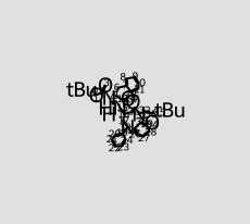 CC(C)(C)OC(=O)N[C@@H](Cc1ccccc1)C(=O)NC1CN(c2ccccc2)c2ccccc2N(CC(=O)C(C)(C)C)C1=O